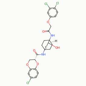 O=C(COc1ccc(Cl)c(Cl)c1)NC12CCC(NC(=O)[C@H]3COc4cc(Cl)ccc4O3)(CC1)C[C@@H]2O